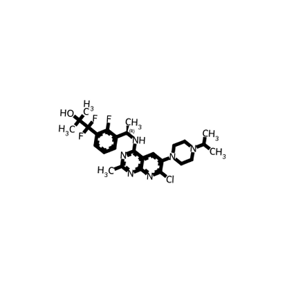 Cc1nc(N[C@H](C)c2cccc(C(F)(F)C(C)(C)O)c2F)c2cc(N3CCN(C(C)C)CC3)c(Cl)nc2n1